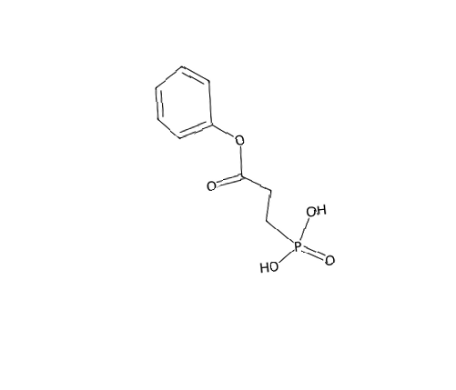 O=C(CCP(=O)(O)O)Oc1ccccc1